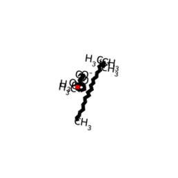 CC1(C)C2CCC1(CS(=O)(=O)[O-])C(=O)C2.CCCCCCCCCCCCCCCCCC[N+](C)(C)C